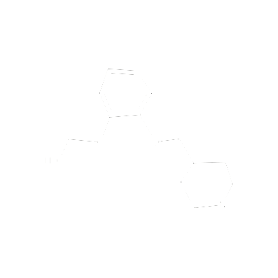 CCOc1ccccc1OCC1CCNCC1